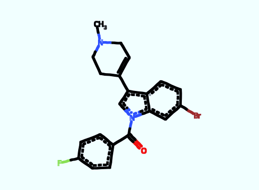 CN1CC=C(c2cn(C(=O)c3ccc(F)cc3)c3cc(Br)ccc23)CC1